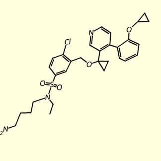 CCN(CCCCN)S(=O)(=O)c1ccc(Cl)c(COC2(c3cnccc3-c3ccccc3OC3CC3)CC2)c1